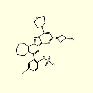 CS(=O)(=O)Nc1ccc(Cl)cc1C(=O)N1CCCCCC1c1cc2nc(N3CC(N)C3)cc(N3CCOCC3)n2n1